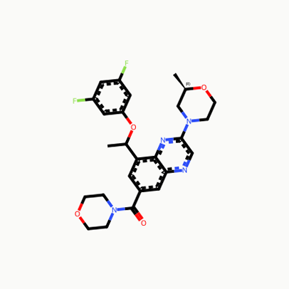 CC(Oc1cc(F)cc(F)c1)c1cc(C(=O)N2CCOCC2)cc2ncc(N3CCO[C@H](C)C3)nc12